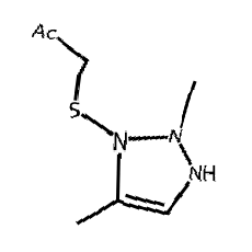 CC(=O)CSN1C(C)=CNN1C